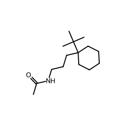 CC(=O)NCCCC1(C(C)(C)C)CCCCC1